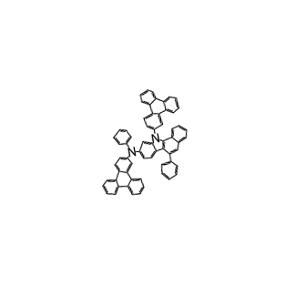 c1ccc(-c2cc3ccccc3c3c2c2ccc(N(c4ccccc4)c4ccc5c6ccccc6c6ccccc6c5c4)cc2n3-c2ccc3c4ccccc4c4ccccc4c3c2)cc1